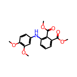 COC(=O)c1cccc(Nc2ccc(OC)c(OC)c2)c1C(=O)OC